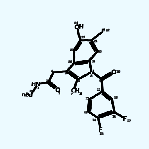 CCCCNC(=O)Cc1c(C)n(C(=O)c2ccc(F)c(F)c2)c2cc(F)c(O)cc12